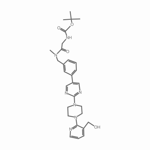 CN(Cc1cccc(-c2cnc(N3CCN(c4ncccc4CO)CC3)nc2)c1)C(=O)CNC(=O)OC(C)(C)C